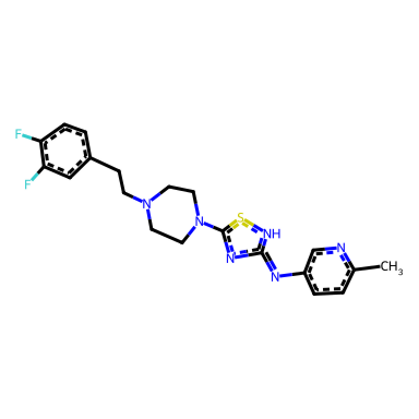 Cc1ccc(N=c2nc(N3CCN(CCc4ccc(F)c(F)c4)CC3)s[nH]2)cn1